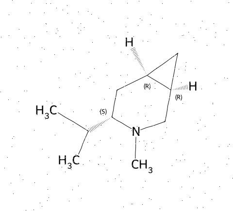 CC(C)[C@@H]1C[C@H]2C[C@H]2CN1C